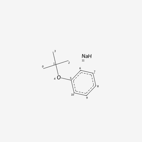 CC(C)(C)Oc1c[c]ccc1.[NaH]